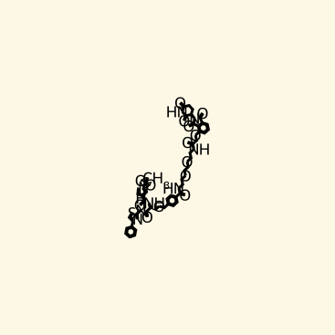 CS(=O)(=O)n1ccc(C(=O)N[C@@H](COCc2ccc(C(=O)NCCOCCOCCNC(=O)COc3cccc4c3C(=O)N(C3CCC(=O)NC3=O)C4=O)cc2)C(=O)Nc2nc(-c3ccccc3)cs2)c1